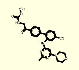 Cc1nc(Nc2cc(C#N)ccc2-c2ccc(C(=O)CNC(=O)OC(C)(C)C)cc2)cc(N2CCOCC2)n1